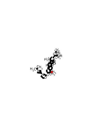 CC(=O)O[C@@H]([C@H]1C[C@@H](C)[C@H]2[C@H](O1)C(=O)[C@@]1(C)[C@@H]3CC[C@H]4C(C)(C)[C@@H](O[C@H]5CN(C6CN(C(C)C)C6)CCO5)CC[C@@]45C[C@@]35CC[C@]21C)C(C)(C)O